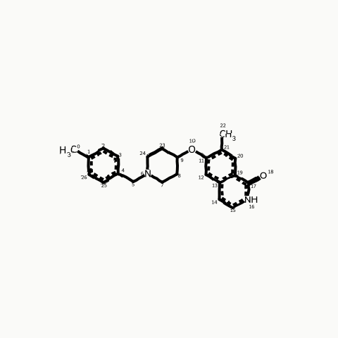 Cc1ccc(CN2CCC(Oc3cc4cc[nH]c(=O)c4cc3C)CC2)cc1